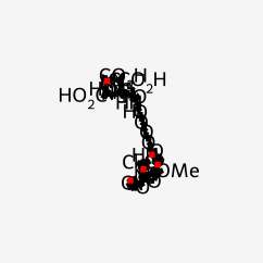 COc1cc2c(cc1-c1cccc(NC(=O)CCOCCOCCOCCOCCNC(=O)[C@@H](CS(=O)(=O)O)NC(=O)CN3CCN(CC(=O)O)CCN(CC(=O)O)CCN(CC(=O)O)CC3)c1)-c1c(c(C(=O)N3CCOCC3(C)C)nn1-c1cc(Cl)cc(Cl)c1)CO2